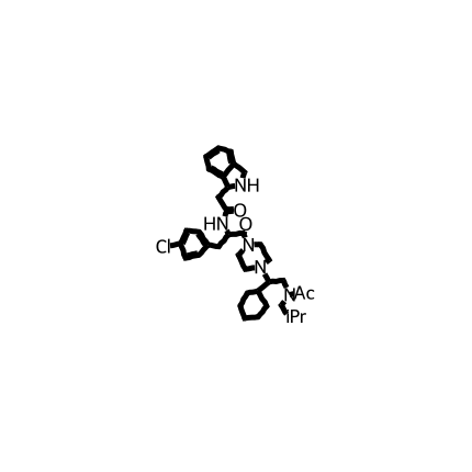 CC(=O)N(CC(C)C)CC(C1CCCCC1)N1CCN(C(=O)C(Cc2ccc(Cl)cc2)NC(=O)CC2NCc3ccccc32)CC1